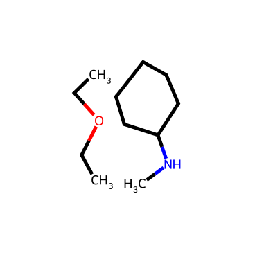 CCOCC.CNC1CCCCC1